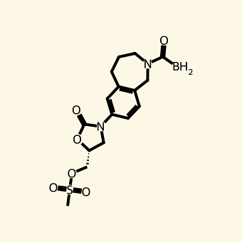 BC(=O)N1CCCc2cc(N3C[C@H](COS(C)(=O)=O)OC3=O)ccc2C1